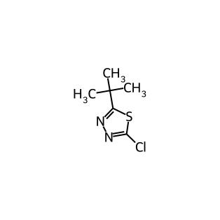 CC(C)(C)c1nnc(Cl)s1